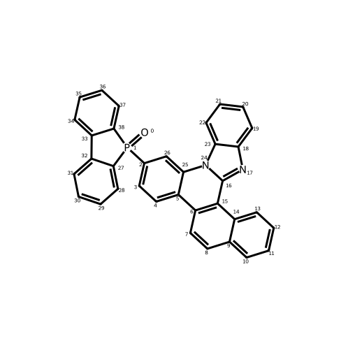 O=P1(c2ccc3c4ccc5ccccc5c4c4nc5ccccc5n4c3c2)c2ccccc2-c2ccccc21